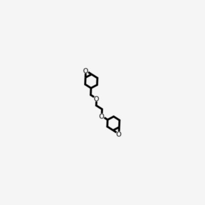 C(COC1CCC2OC2C1)OCC1CCC2OC2C1